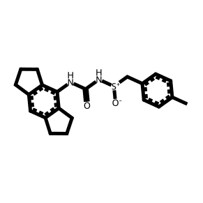 Cc1ccc(C[S+]([O-])NC(=O)Nc2c3c(cc4c2CCC4)CCC3)cc1